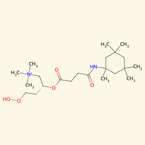 CC1(C)CC(C)(C)CC(C)(NC(=O)CCC(=O)O[C@H](CCOO)C[N+](C)(C)C)C1